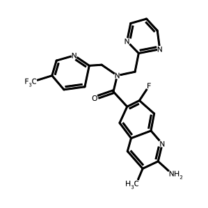 Cc1cc2cc(C(=O)N(Cc3ccc(C(F)(F)F)cn3)Cc3ncccn3)c(F)cc2nc1N